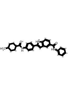 CC1CCC(C(=O)Nc2ccc(-c3cc4cc(C(=O)Nc5ccccc5)ccc4[nH]3)cc2)CC1